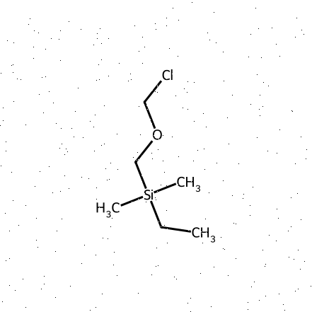 CC[Si](C)(C)COCCl